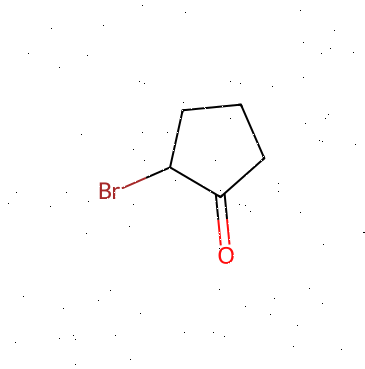 O=C1CCCC1Br